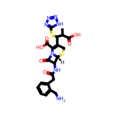 CC(C(=O)O)C(Sc1nnn[nH]1)C1=C(C(=O)O)N2C(=O)C(NC(=O)Cc3ccccc3CN)[C@H]2SC1